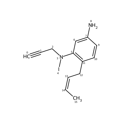 C#CCN(I)c1cc(N)ccc1C/C=C\C